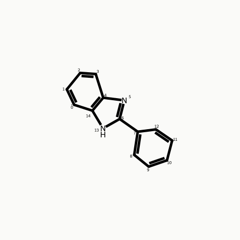 [c]1cccc2nc(-c3ccccc3)[nH]c12